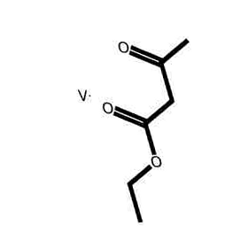 CCOC(=O)CC(C)=O.[V]